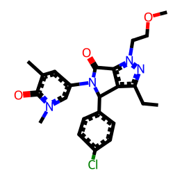 CCc1nn(CCOC)c2c1C(c1ccc(Cl)cc1)N(c1cc(C)c(=O)n(C)c1)C2=O